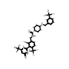 O=c1cc(C(F)(F)F)nc(-c2c(C(F)(F)F)ccc(CNC(=O)[C@H]3CC[C@H](OCc4cccc(C(F)(F)F)c4)CC3)c2F)[nH]1